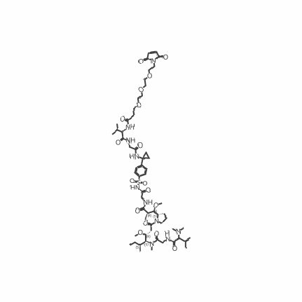 CC[C@H](C)[C@@H]([C@@H](CC(=O)N1CCC[C@H]1[C@H](OC)[C@@H](C)C(=O)NCC(=O)NS(=O)(=O)c1ccc(C2(NC(=O)CNC(=O)C(NC(=O)CCOCCOCCOCCN3C(=O)C=CC3=O)C(C)C)CC2)cc1)OC)N(C)C(=O)CNC(=O)C(C(C)C)N(C)C